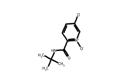 CC(C)(C)NC(=O)c1ccc(Cl)c[n+]1[O-]